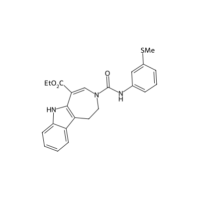 CCOC(=O)C1=CN(C(=O)Nc2cccc(SC)c2)CCc2c1[nH]c1ccccc21